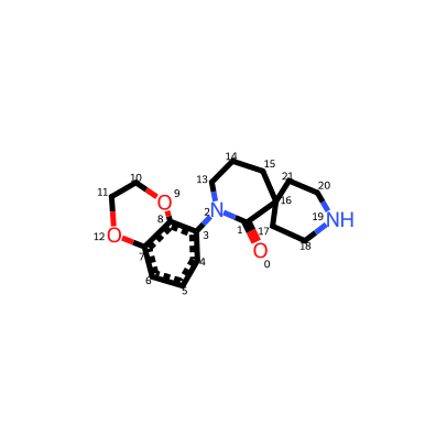 O=C1N(c2cccc3c2OCCO3)CCCC12CCNCC2